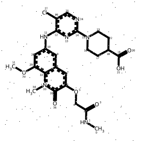 CNC(=O)COc1cc2cc(Nc3nc(N4CCC(C(=O)O)CC4)ncc3Cl)cc(OC)c2n(C)c1=O